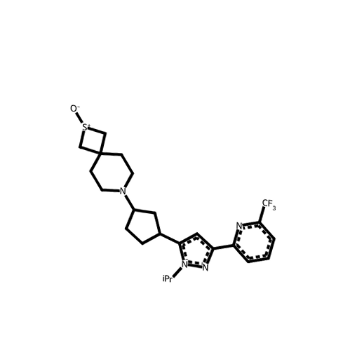 CC(C)n1nc(-c2cccc(C(F)(F)F)n2)cc1C1CCC(N2CCC3(CC2)C[S+]([O-])C3)C1